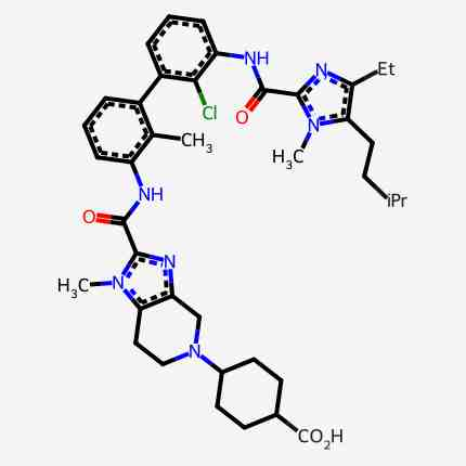 CCc1nc(C(=O)Nc2cccc(-c3cccc(NC(=O)c4nc5c(n4C)CCN(C4CCC(C(=O)O)CC4)C5)c3C)c2Cl)n(C)c1CCC(C)C